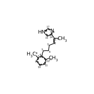 CC(=CCCCc1c(C)cccc1C)c1c[nH]cn1